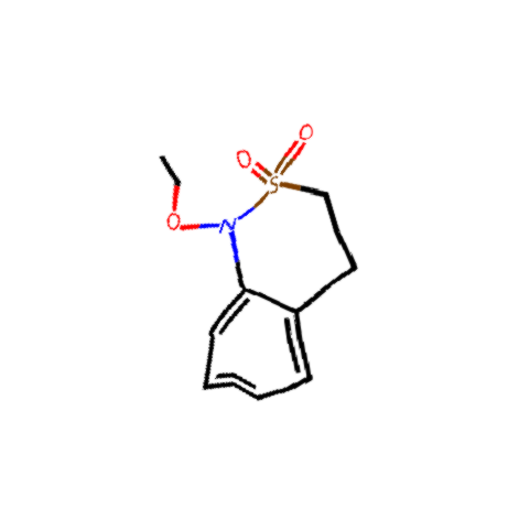 CON1c2ccccc2CCS1(=O)=O